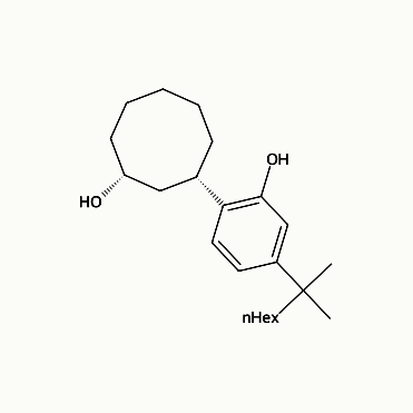 CCCCCCC(C)(C)c1ccc([C@H]2CCCCC[C@@H](O)C2)c(O)c1